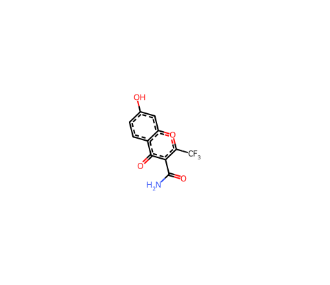 NC(=O)c1c(C(F)(F)F)oc2cc(O)ccc2c1=O